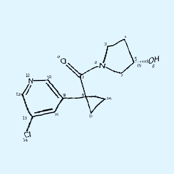 O=C(N1CC[C@H](O)C1)C1(c2cncc(Cl)c2)CC1